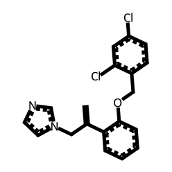 C=C(Cn1ccnc1)c1ccccc1OCc1ccc(Cl)cc1Cl